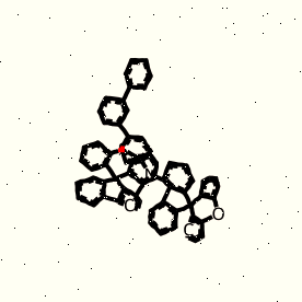 c1ccc(-c2cccc(-c3ccc(N(c4cccc5c4-c4ccccc4C54c5ccccc5Oc5ccccc54)c4cccc5c4C4(c6ccccc6Sc6ccccc64)c4ccccc4-5)cc3)c2)cc1